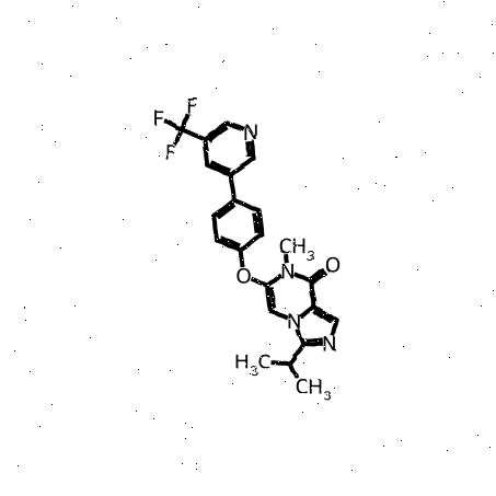 CC(C)c1ncc2c(=O)n(C)c(Oc3ccc(-c4cncc(C(F)(F)F)c4)cc3)cn12